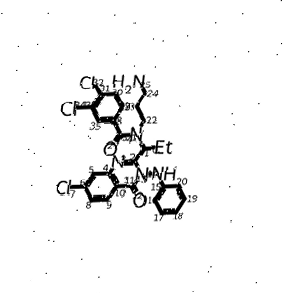 CCC(c1nc2cc(Cl)ccc2c(=O)n1Nc1ccccc1)N(CCCN)C(=O)c1ccc(Cl)c(Cl)c1